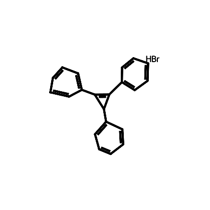 Br.c1ccc(C2=C(c3ccccc3)C2c2ccccc2)cc1